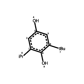 CC(C)c1cc(O)cc(C(C)(C)C)c1O